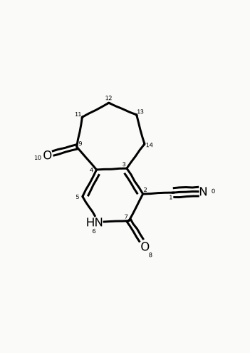 N#Cc1c2c(c[nH]c1=O)C(=O)CCCC2